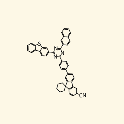 N#Cc1ccc2c(c1)-c1ccc(-c3ccc(-c4nc(-c5ccc6ccccc6c5)nc(-c5ccc6c(c5)sc5ccccc56)n4)cc3)cc1C21CCCCC1